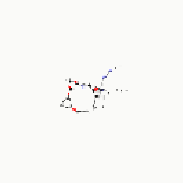 C=C1C[C@@H]2C[C@@H]3CC(C)(C)C[C@H](/C=C/C(C)(C)[C@]4(O)O[C@@H](C/C(=C\C(=O)OC)[C@@H]4OC(=O)/C=C/C=C/CCC)C[C@H]([C@@H](C)O)OC(=O)C[C@H](O)C[C@H](C1)O2)O3